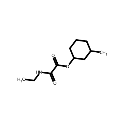 CCNC(=O)C(=O)OC1CCCC(C)C1